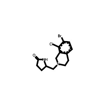 O=C1CCC(CN2CCc3ccc(Br)c(Cl)c3C2)N1